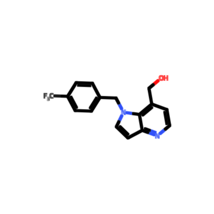 OCc1ccnc2ccn(Cc3ccc(C(F)(F)F)cc3)c12